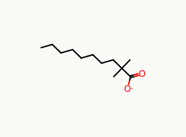 CCCCCCCCC(C)(C)C([O])=O